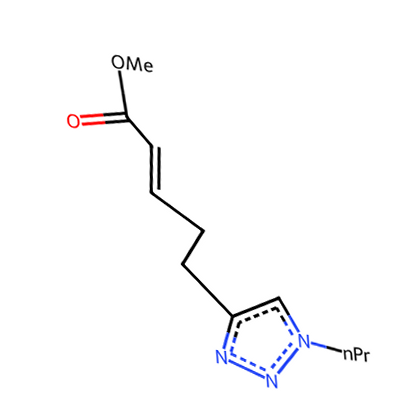 CCCn1cc(CC/C=C/C(=O)OC)nn1